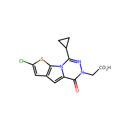 O=C(O)Cn1nc(C2CC2)n2c(cc3cc(Cl)sc32)c1=O